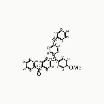 COc1ccc([S+](c2ccc(Sc3ccccc3)cc2)c2ccc(C(=O)c3ccccc3)cc2)cc1